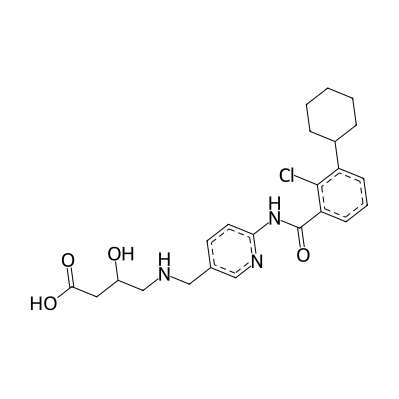 O=C(O)CC(O)CNCc1ccc(NC(=O)c2cccc(C3CCCCC3)c2Cl)nc1